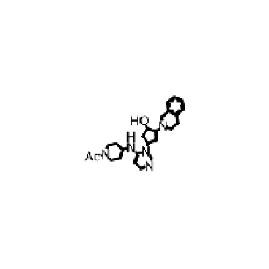 CC(=O)N1CCC(NC2=CC=NCN2C2CC(O)C(N3CCc4ccccc4C3)C2)CC1